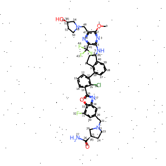 COc1nc(N[C@@H]2CCc3c(-c4cccc(-c5nc6cc(CN7CC[C@@H](C(N)=O)C7)cc(F)c6o5)c4Cl)cccc32)c(C(F)(F)F)nc1CN1CC[C@@H](O)C1